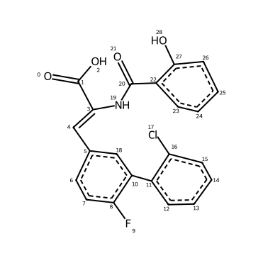 O=C(O)C(=Cc1ccc(F)c(-c2ccccc2Cl)c1)NC(=O)c1ccccc1O